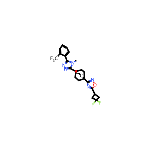 Cn1c(-c2ccccc2C(F)(F)F)nnc1C12CCC(c3noc(C4CC(F)(F)C4)n3)(CC1)CC2